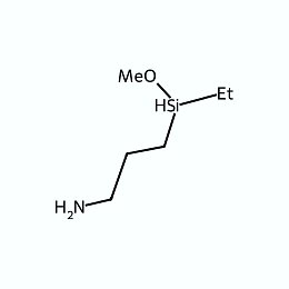 CC[SiH](CCCN)OC